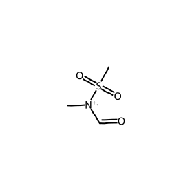 C[N+](C=O)S(C)(=O)=O